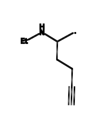 C#CCCC([CH2])NCC